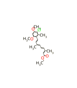 CCOC(=O)C=C(C)C=CC=C(C)C=Cc1c(OC)cc(OC)c(Cl)c1C